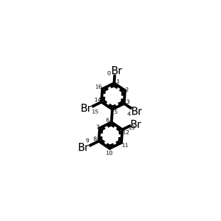 Brc1cc(Br)c(-c2cc(Br)ccc2Br)c(Br)c1